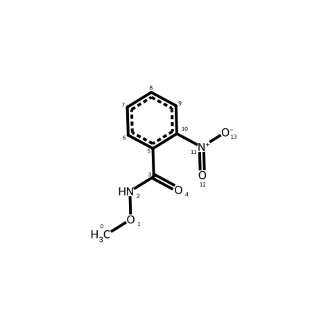 CONC(=O)c1ccccc1[N+](=O)[O-]